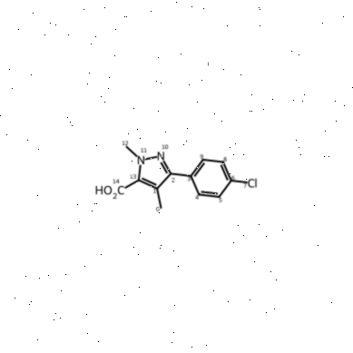 Cc1c(-c2ccc(Cl)cc2)nn(C)c1C(=O)O